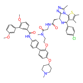 COc1cccc(-c2cc(C(=O)Nc3ccc(-c4ccc(OC5CCN(C)CC5)cc4OCCN(C)C(=O)CNC(=O)C[C@@H]4N=C(c5ccc(Cl)cc5)c5c(sc(C)c5C)-n5c(C)nnc54)cc3)ccc2OC)c1